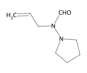 C=CCN(C=O)N1CCCC1